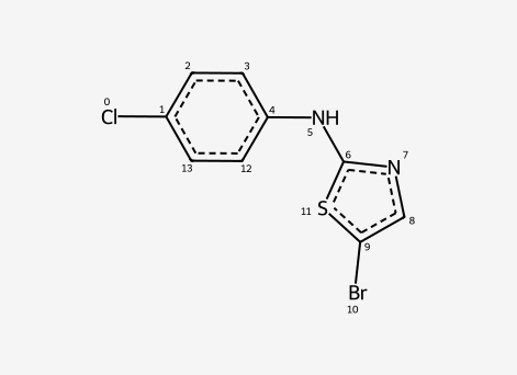 Clc1ccc(Nc2ncc(Br)s2)cc1